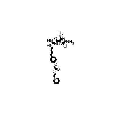 N=C(NCCCCc1ccc(OCC(=O)OCCN2CCCCC2)cc1)NC(=O)c1nc(Cl)c(N)nc1N